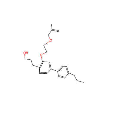 C=C(C)COCCOc1cc(-c2ccc(CCC)cc2)ccc1CCCO